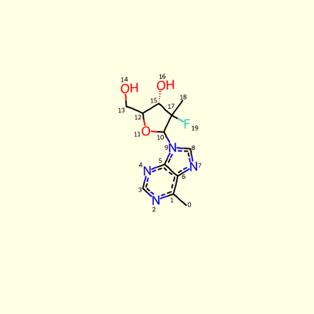 Cc1ncnc2c1ncn2C1OC(CO)[C@H](O)C1(C)F